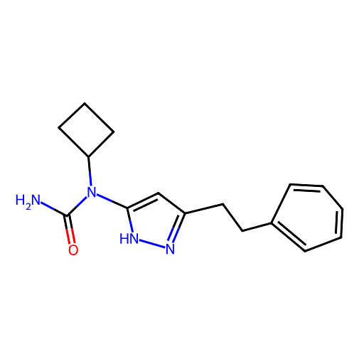 NC(=O)N(c1cc(CCc2ccccc2)n[nH]1)C1CCC1